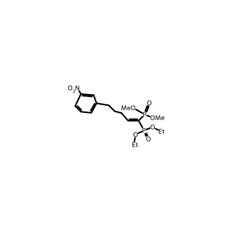 CCOP(=O)(OCC)C(=CCCCc1cccc([N+](=O)[O-])c1)P(=O)(OC)OC